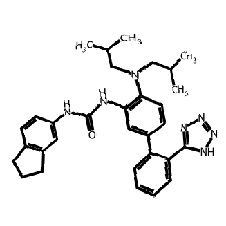 CC(C)CN(CC(C)C)c1ccc(-c2ccccc2-c2nnn[nH]2)cc1NC(=O)Nc1ccc2c(c1)CCC2